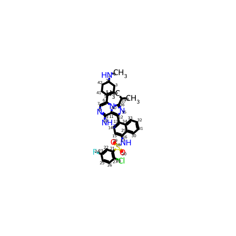 CNC1CC=C(c2cnc(N)c3c(-c4ccc(NS(=O)(=O)c5cc(F)ccc5Cl)c5ccccc45)nc(C(C)C)n23)CC1